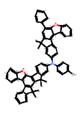 CC(C)(C)c1ccc(N(c2ccc3c(c2)C(C)(C)c2cc(-c4ccccc4)c4oc5ccccc5c4c2-3)c2ccc3c(c2)C(C)(C)c2c4c(c5c(oc6ccccc65)c2-3)-c2ccccc2C4(C)C)cc1